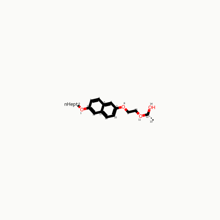 CCCCCCCOc1ccc2cc(OCCO[C@@H](C)O)ccc2c1